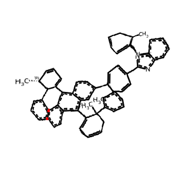 CC1C=CC(c2nc3ccccc3n2C2=CC=CCC2C)=CC=C1c1ccc2c(C3=CC=C[C@@H](C)C3c3ccccc3)c3ccccc3c(C3=CC=CCC3(C)c3ccccc3)c2c1